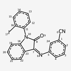 N#Cc1cccc(N=C2C(=O)N(c3ccccc3I)c3ccccc32)c1